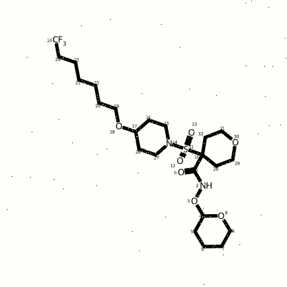 O=C(NOC1CCCCO1)C1(S(=O)(=O)N2CCC(OCCCCCCC(F)(F)F)CC2)CCOCC1